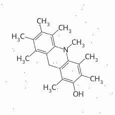 Cc1c(C)c(C)c2c(c1C)Cc1c(C)c(O)c(C)c(C)c1N2C